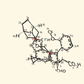 O=CN(CC(=O)O)c1cc(F)c2nc(N3[C@@H]4CC[C@H]3C[C@H](OCc3c(-c5ccccc5OC(F)(F)F)noc3C3CC3)C4)sc2c1